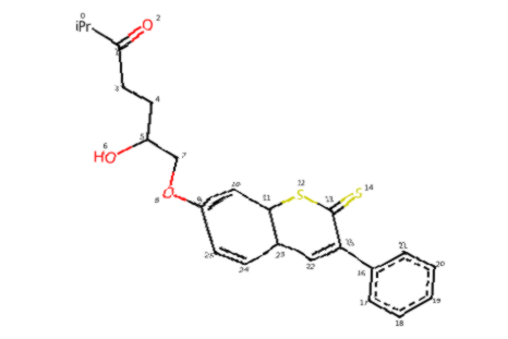 CC(C)C(=O)CCC(O)COC1=CC2SC(=S)C(c3ccccc3)=CC2C=C1